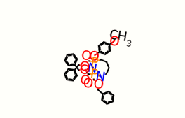 COc1ccc(OP2(C(=O)OCc3ccccc3)=NP(C(=O)OCc3ccccc3)(C(=O)OCc3ccccc3)=NCCCC2)cc1